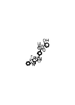 O=C(N[C@@H]1CCCC[C@@H]1CO)C(O)c1ccc(-c2noc(-c3cnn(-c4ccccc4)c3C(F)(F)F)n2)cc1